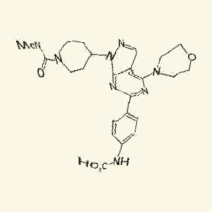 CNC(=O)N1CCC(n2ncc3c(N4CCOCC4)nc(-c4ccc(NC(=O)O)cc4)nc32)CC1